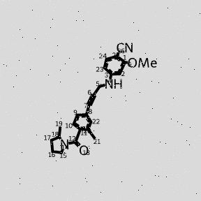 COc1cc(NCC#Cc2ccc(C(=O)N3CCCC3C)c(C)c2)ccc1C#N